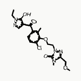 CCn1ncc(C(=O)c2ccc(Cl)c(OCCn3nc(COC)n(C)c3=O)c2C)c1O